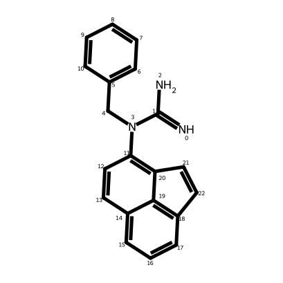 N=C(N)N(Cc1ccccc1)c1ccc2cccc3c2c1C=C3